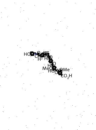 COc1cc(C(=O)O)ccc1NC(=O)c1ccc(NC(=O)c2ccc(NC(=O)[C@H](CC#N)NC(=O)c3ccc(NC(=O)/C(C)=C/c4ccc(O)cc4)cc3)cc2)c(OC)c1O